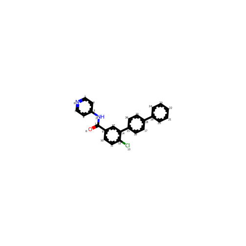 O=C(Nc1ccncc1)c1ccc(Cl)c(-c2ccc(-c3ccccc3)cc2)c1